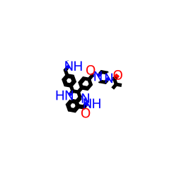 CNCc1ccc(C2Nc3cccc4c(=O)[nH]nc(c34)C2C2=CCC(C(=O)N3CCN(C(=O)C(C)C)CC3)C=C2)cc1